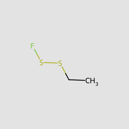 CCSSF